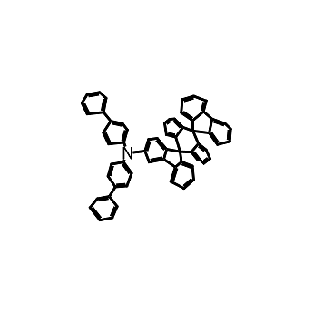 c1ccc(-c2ccc(N(c3ccc(-c4ccccc4)cc3)c3ccc4c(c3)-c3ccccc3C43c4ccccc4C4(c5ccccc5-c5ccccc54)c4ccccc43)cc2)cc1